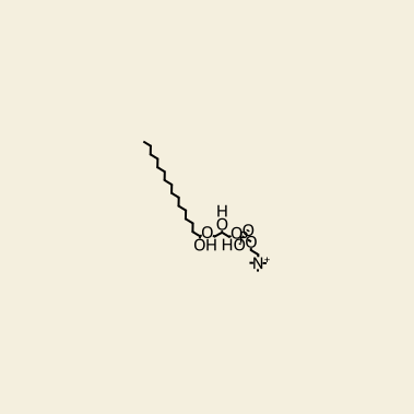 CCCCCCCCCCCCCCCC(O)OC[C@@H](O)COP(=O)(O)OCC[N+](C)(C)C